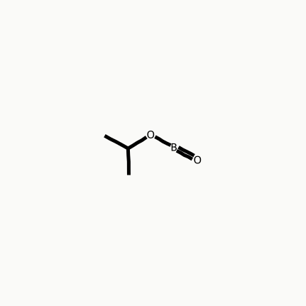 CC(C)OB=O